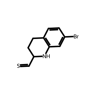 S=CC1CCc2ccc(Br)cc2N1